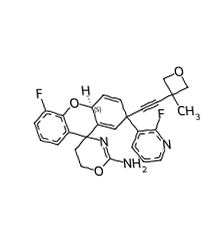 CC1(C#CC2(c3cccnc3F)C=C[C@@H]3Oc4c(F)cccc4C4(CCOC(N)=N4)C3=C2)COC1